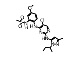 CCC(C)n1nc(C)cc1Nc1ncc(Cl)c(Nc2ccc(OC)cc2NS(C)(=O)=O)n1